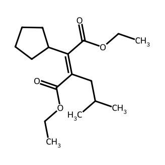 CCOC(=O)C(CC(C)C)=C(C(=O)OCC)C1CCCC1